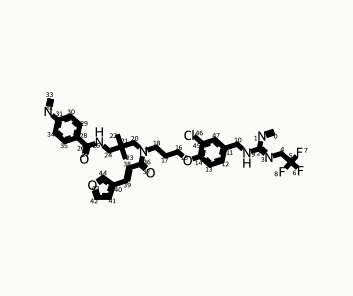 C=N/C(=N\CC(F)(F)F)NCc1ccc(OCCCN(CC(C)(C)CNC(=O)c2ccc(N=C)cc2)C(=O)/C=C/c2ccoc2)c(Cl)c1